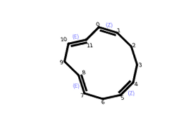 C1=C\CC/C=C\C/C=C/C/C=C/1